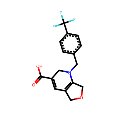 O=C(O)C1=CC2=C(COC2)N(Cc2ccc(C(F)(F)F)cc2)C1